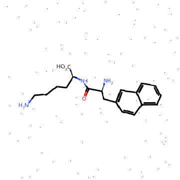 NCCCC[C@H](NC(=O)[C@@H](N)Cc1ccc2ccccc2c1)C(=O)O